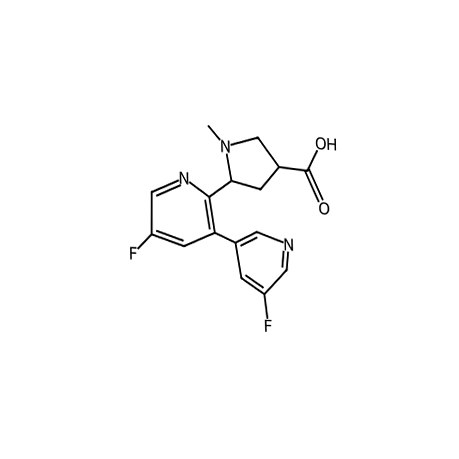 CN1CC(C(=O)O)CC1c1ncc(F)cc1-c1cncc(F)c1